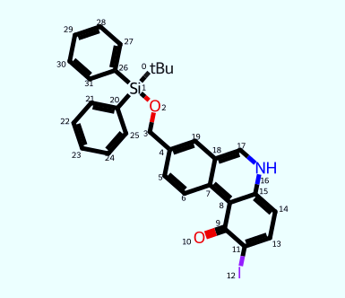 CC(C)(C)[Si](OCc1ccc2c3c(=O)c(I)ccc-3[nH]cc2c1)(c1ccccc1)c1ccccc1